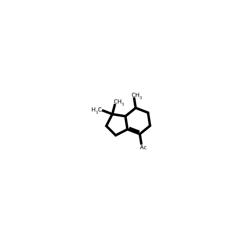 CC(=O)C1=C2CCC(C)(C)C2C(C)CC1